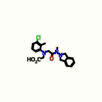 Cc1c(Cl)cccc1N(CC(=O)O)CC(=O)N(C)N1Cc2ccccc2C1